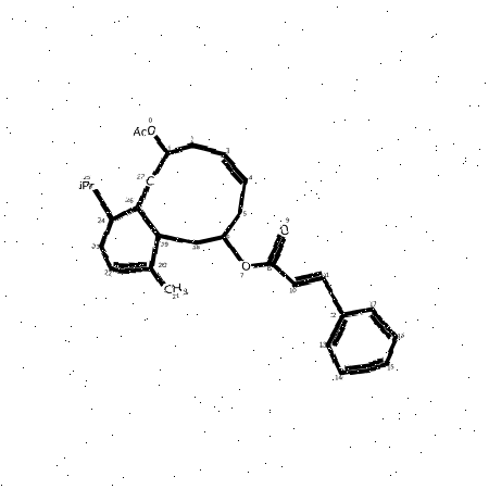 CC(=O)OC1C/C=C\CC(OC(=O)/C=C/c2ccccc2)CC2C(C)=CCC(C(C)C)C2C1